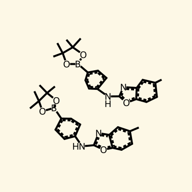 Cc1ccc2oc(Nc3ccc(B4OC(C)(C)C(C)(C)O4)cc3)nc2c1.Cc1ccc2oc(Nc3ccc(B4OC(C)(C)C(C)(C)O4)cc3)nc2c1